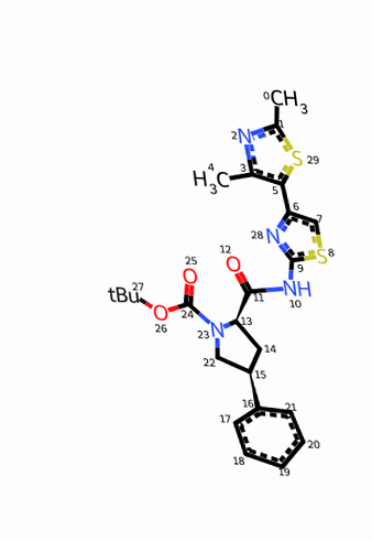 Cc1nc(C)c(-c2csc(NC(=O)[C@H]3C[C@@H](c4ccccc4)CN3C(=O)OC(C)(C)C)n2)s1